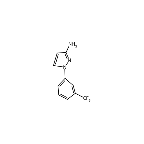 Nc1ccn(-c2cccc(C(F)(F)F)c2)n1